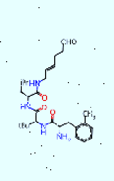 Cc1ccccc1C[C@H](N)C(=O)N[C@H](C(=O)N[C@@H](CC(C)C)C(=O)NCC=CCCC=O)C(C)(C)C